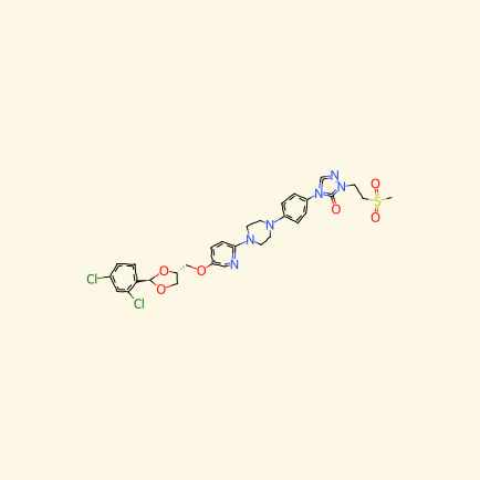 CS(=O)(=O)CCn1ncn(-c2ccc(N3CCN(c4ccc(OC[C@@H]5CO[C@@H](c6ccc(Cl)cc6Cl)O5)cn4)CC3)cc2)c1=O